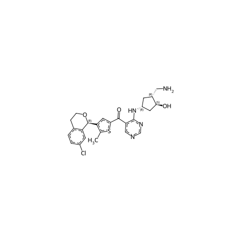 Cc1sc(C(=O)c2cncnc2N[C@@H]2C[C@H](CN)[C@@H](O)C2)cc1[C@@H]1OCCc2ccc(Cl)cc21